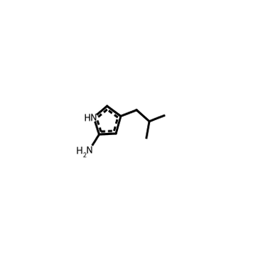 CC(C)Cc1c[nH]c(N)c1